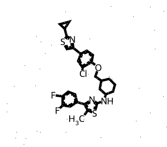 Cc1sc(NC2CCCC(COc3ccc(-c4csc(C5CC5)n4)cc3Cl)C2)nc1-c1ccc(F)c(F)c1